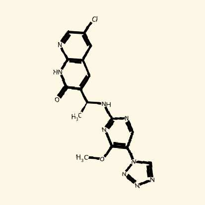 COc1nc(N[C@@H](C)c2cc3cc(Cl)cnc3[nH]c2=O)ncc1-n1cnnn1